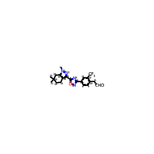 Cn1nc(-c2nc(-c3ccc(CC=O)c(C(F)(F)F)c3)no2)c2c1CC(C)(C)CC2